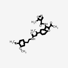 COc1ccc(CCNC(=O)C=C(C)c2ccc3oc(C(C)=O)c(NC(=O)c4cnoc4C)c3c2)cc1OC